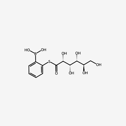 O=C(Sc1ccccc1B(O)O)[C@H](O)[C@@H](O)[C@H](O)[C@H](O)CO